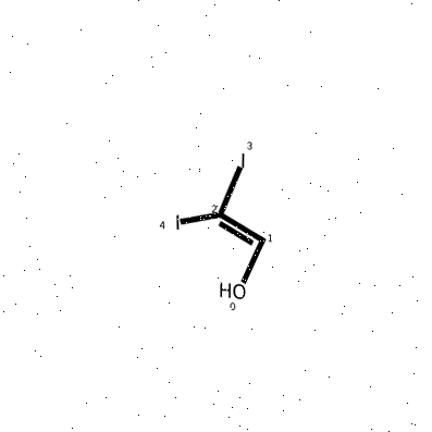 OC=C(I)I